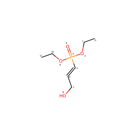 CCOP(=O)(/C=C/CO)OCC